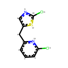 Clc1cccc(Cc2cnc(Cl)s2)n1